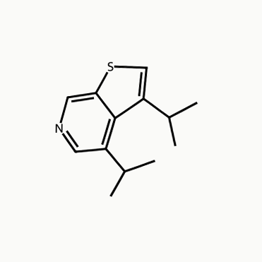 CC(C)c1cncc2scc(C(C)C)c12